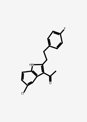 CC(=O)c1c(CCc2ccc(F)cc2)[nH]c2ccc(Cl)cc12